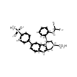 CS(=O)(=O)c1ccc(-c2ccc3nc4n(c3c2)[C@@H](c2ccccc2OC(F)F)CN(C(=O)O)C4)cn1